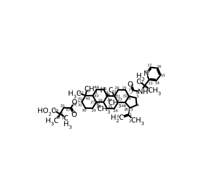 C=C(C)[C@@H]1CC[C@]2(C(=O)NC(C)(C)c3ccccn3)CC[C@]3(C)C(CCC4[C@@]5(C)CC[C@H](OC(=O)CC(C)(C)C(=O)O)C(C)(C)C5CC[C@]43C)C12